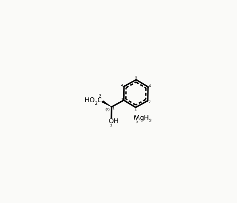 O=C(O)[C@H](O)c1ccccc1.[MgH2]